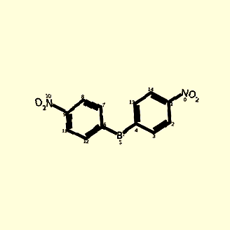 O=[N+]([O-])c1ccc([B]c2ccc([N+](=O)[O-])cc2)cc1